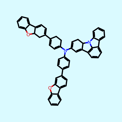 C1=C(C2=CC=C3c4ccccc4OC3C2)CCC(N(C2=CCC3C(=C2)c2cccc4c5ccccc5n3c24)c2ccc(-c3ccc4c(c3)oc3ccccc34)cc2)=C1